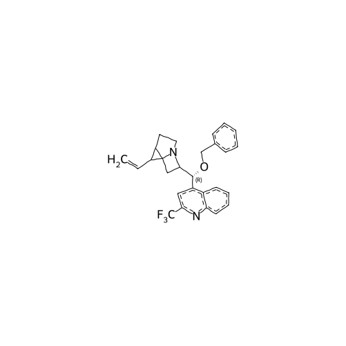 C=CC1C2CCN3C([C@H](OCc4ccccc4)c4cc(C(F)(F)F)nc5ccccc45)CC123